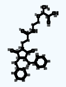 CC(OCCNC(=O)CCN1C(=O)C(Sc2ccccn2)=C(Sc2ccccn2)C1=O)C(=O)O